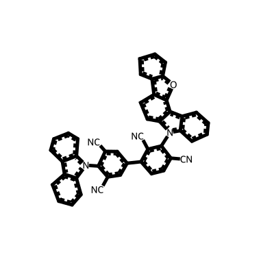 N#Cc1cc(-c2ccc(C#N)c(-n3c4ccccc4c4c5oc6ccccc6c5ccc43)c2C#N)cc(C#N)c1-n1c2ccccc2c2ccccc21